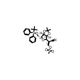 CC1(C)O[C@@H]2[C@@H](CO[Si](c3ccccc3)(c3ccccc3)C(C)(C)C)OC(/C(C#N)=C/OS(C)(=O)=O)[C@@H]2O1